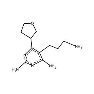 NCCCc1c(N)nc(N)nc1C1CCOC1